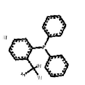 I.[2H]C([2H])([2H])c1ccccc1P(c1ccccc1)c1ccccc1